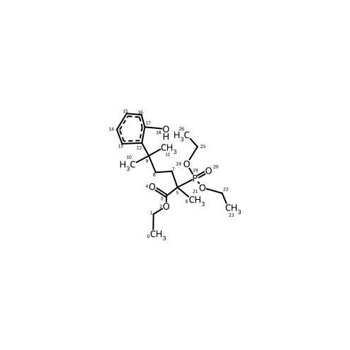 CCOC(=O)C(C)(CCC(C)(C)c1ccccc1O)P(=O)(OCC)OCC